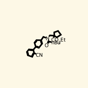 CCCCC(=O)N(Cc1ccc(-c2ccccc2C#N)cc1)CC1(C(=O)OCC)CCCC1